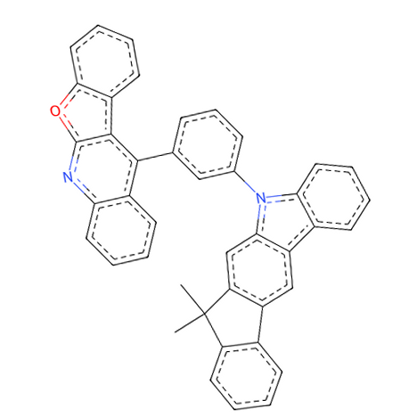 CC1(C)c2ccccc2-c2cc3c4ccccc4n(-c4cccc(-c5c6ccccc6nc6oc7ccccc7c56)c4)c3cc21